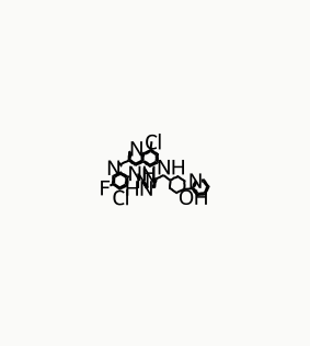 N#Cc1cnc2c(Cl)cc(NC(c3c[nH]nn3)C3CCC(O)(c4ccccn4)CC3)cc2c1Nc1ccc(F)c(Cl)c1